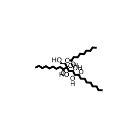 CCCCCCCCC(=O)O[C@H](CO)[C@](O)(C(=O)CCCCCCCC)[C@H](O)[C@@H](O)C(O)C(=O)CCCCCCCC